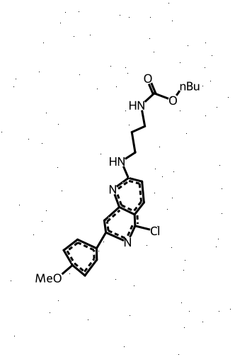 CCCCOC(=O)NCCCNc1ccc2c(Cl)nc(-c3ccc(OC)cc3)cc2n1